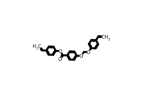 C=Cc1ccc(OCOc2ccc(C(=O)Oc3ccc(C=C)cc3)cc2)cc1